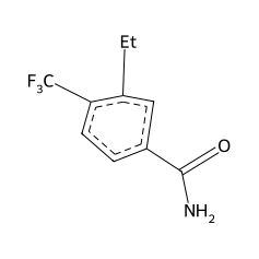 CCc1cc(C(N)=O)ccc1C(F)(F)F